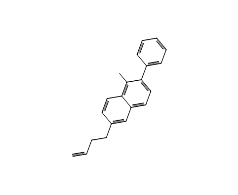 C=CCCc1ccc2c(F)c(-c3ccccc3)ccc2c1